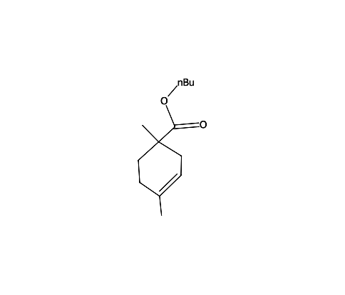 CCCCOC(=O)C1(C)CC=C(C)CC1